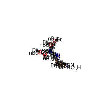 CCCCC(C)COc1cc(OCC(CC)CCCC)ccc1-c1ccc(N(c2ccc(-c3ccc(OCC(CC)CCCC)cc3OCC(CC)CCCC)cc2)c2ccc(-c3ccc(-c4cc5c(s4)C(CC(CC)CCCC)(CC(CC)CCCC)c4sc(-c6ccc(/C=C(\C#N)C(=O)O)s6)cc4-5)c4nsnc34)cc2)cc1